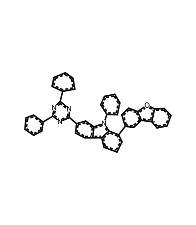 c1ccc(-c2nc(-c3ccccc3)nc(-c3ccc4c5cccc(-c6ccc7oc8ccccc8c7c6)c5n(-c5ccccc5)c4c3)n2)cc1